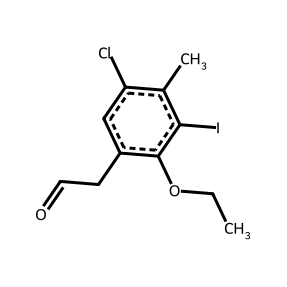 CCOc1c(CC=O)cc(Cl)c(C)c1I